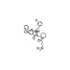 N#Cc1ccccc1-c1ccc(C(=O)NCC2CCCCCN2C(=O)CCCN)c(NCCc2cccc(F)c2)n1